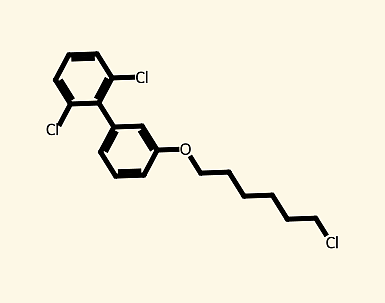 ClCCCCCCOc1cccc(-c2c(Cl)cccc2Cl)c1